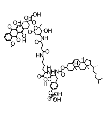 COc1cccc2c1C(=O)c1c(O)c3c(c(O)c1C2=O)C[C@@](O)(C(=O)CO)C[C@@H]3O[C@H]1C[C@H](NC(=O)CCC(=O)NCCCC[C@@H](NC(=O)C(Cc2ccc(OP(=O)(O)O)cc2)NC(=O)OC2CCC3(C)C(=CCC4[C@@H]3CC[C@@]3(C)C([C@H](C)CCCC(C)C)CC[C@@H]43)C2)C(=O)O)[C@H](O)[C@H](C)O1